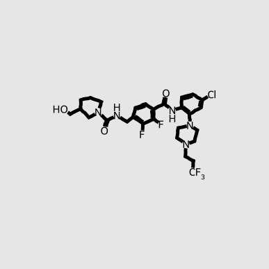 O=C(Nc1ccc(Cl)cc1N1CCN(CCC(F)(F)F)CC1)c1ccc(CNC(=O)N2CCCC(CO)C2)c(F)c1F